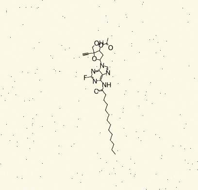 C#CC1(CO)OC(n2cnc3c(NC(=O)CCCCCCCCCCCCC)nc(F)nc32)CC1OC(C)=O